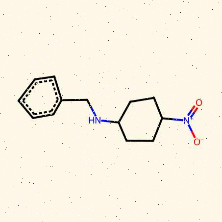 O=[N+]([O-])C1CCC(NCc2ccccc2)CC1